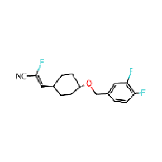 N#CC(F)=C[C@H]1CC[C@H](OCc2ccc(F)c(F)c2)CC1